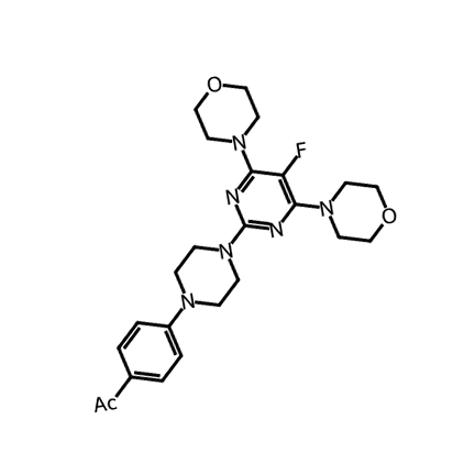 CC(=O)c1ccc(N2CCN(c3nc(N4CCOCC4)c(F)c(N4CCOCC4)n3)CC2)cc1